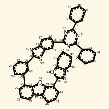 c1ccc(-c2nc(-c3ccccc3)nc(-c3ccc4nc(-c5cccc(-c6cccc7c6oc6c(-c8nc9ccccc9o8)cccc67)c5)sc4c3)n2)cc1